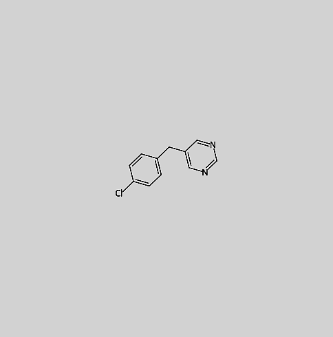 Clc1ccc(Cc2cncnc2)cc1